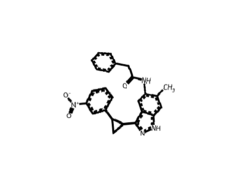 Cc1cc2[nH]nc(C3CC3c3cccc([N+](=O)[O-])c3)c2cc1NC(=O)Cc1ccccc1